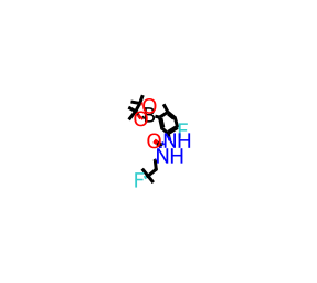 Cc1cc(F)c(NC(=O)NCCC(C)(C)F)cc1B1OC(C)(C)C(C)(C)O1